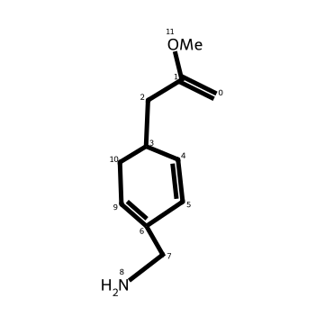 C=C(CC1C=CC(CN)=CC1)OC